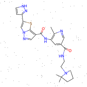 Cc1ncc(C(=O)NCCN2CCCC2(C)C)cc1NC(=O)c1cnn2cc(-c3cc[nH]n3)sc12